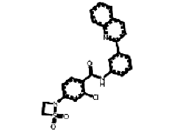 O=C(Nc1cccc(-c2ccc3ccccc3n2)c1)c1ccc(N2CCS2(=O)=O)cc1Cl